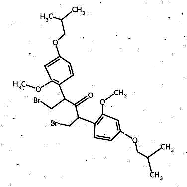 COc1cc(OCC(C)C)ccc1C(CBr)C(=O)C(CBr)c1ccc(OCC(C)C)cc1OC